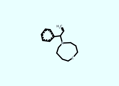 C=CC(c1ccccc1)N1CCCCCCCC1